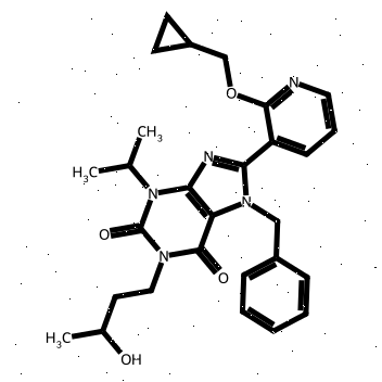 CC(O)CCn1c(=O)c2c(nc(-c3cccnc3OCC3CC3)n2Cc2ccccc2)n(C(C)C)c1=O